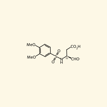 COc1ccc(S(=O)(=O)N[C@H]([C]=O)CC(=O)O)cc1OC